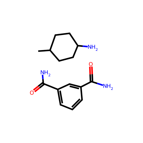 CC1CCC(N)CC1.NC(=O)c1cccc(C(N)=O)c1